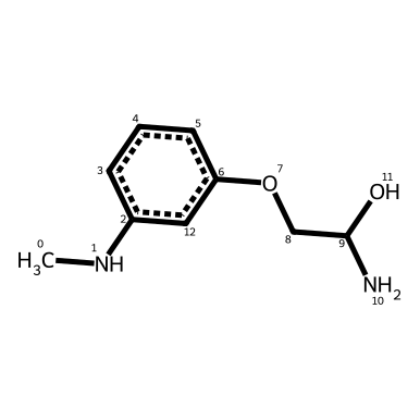 CNc1cccc(OCC(N)O)c1